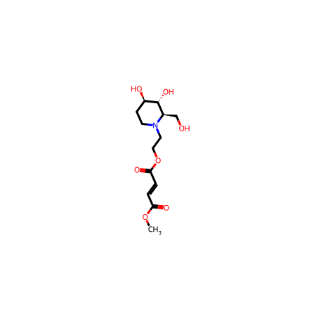 COC(=O)/C=C/C(=O)OCCN1CC[C@@H](O)[C@H](O)[C@H]1CO